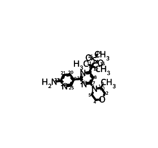 C[C@H]1COCCN1c1cc(C(C)(C)S(C)(=O)=O)nc(-c2ccc(N)nc2)n1